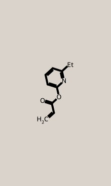 C=CC(=O)Oc1cccc(CC)n1